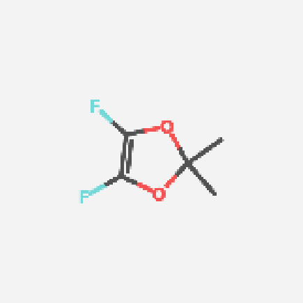 CC1(C)OC(F)=C(F)O1